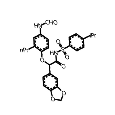 CCCc1cc(NC=O)ccc1OC(C(=O)NS(=O)(=O)c1ccc(C(C)C)cc1)c1ccc2c(c1)OCO2